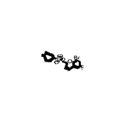 Cc1ccc(S(=O)(=O)OCC2CCc3cc(F)cc(Br)c3O2)cc1